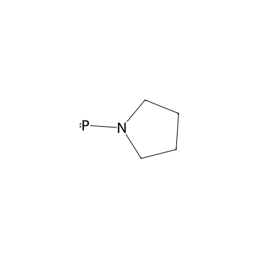 [P]N1CCCC1